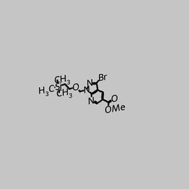 COC(=O)c1cnc2c(c1)c(Br)nn2COCC[Si](C)(C)C